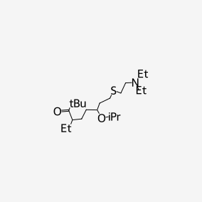 CCC(CCC(CCSCCN(CC)CC)OC(C)C)C(=O)C(C)(C)C